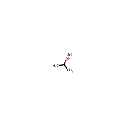 CC(C)O.[Sn]